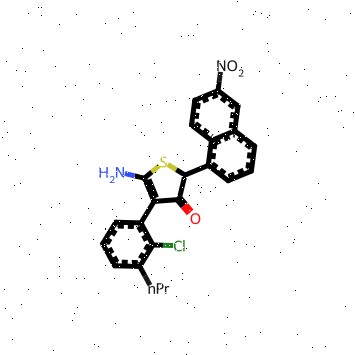 CCCc1cccc(C2=C(N)SC(c3cccc4cc([N+](=O)[O-])ccc34)C2=O)c1Cl